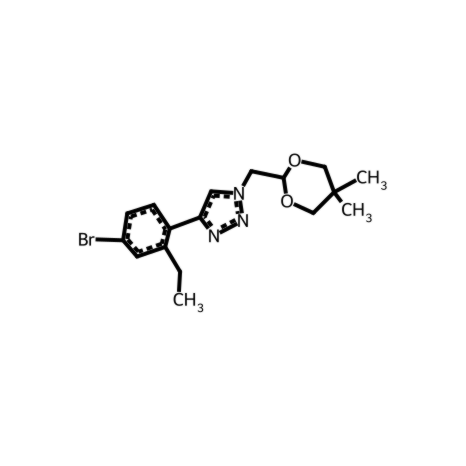 CCc1cc(Br)ccc1-c1cn(CC2OCC(C)(C)CO2)nn1